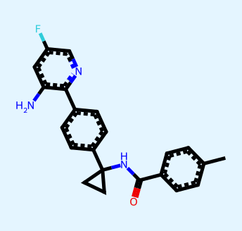 Cc1ccc(C(=O)NC2(c3ccc(-c4ncc(F)cc4N)cc3)CC2)cc1